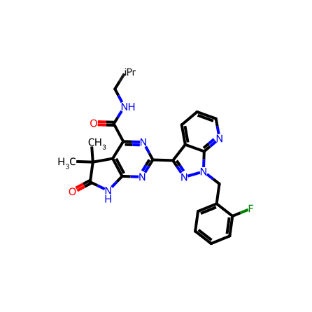 CC(C)CNC(=O)c1nc(-c2nn(Cc3ccccc3F)c3ncccc23)nc2c1C(C)(C)C(=O)N2